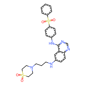 O=S1(=O)CCN(CCCNc2ccc3ncnc(Nc4ccc(S(=O)(=O)c5ccccc5)cc4)c3c2)CC1